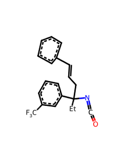 CCC(CC=Cc1ccccc1)(N=C=O)c1cccc(C(F)(F)F)c1